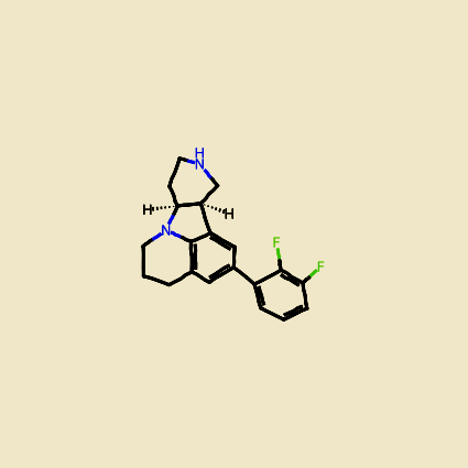 Fc1cccc(-c2cc3c4c(c2)[C@@H]2CNCC[C@@H]2N4CCC3)c1F